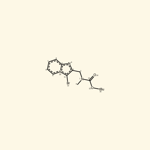 CN(Cc1nc2ccccn2c1Br)C(=O)OC(C)(C)C